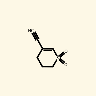 C#CC1=CS(=O)(=O)CCC1